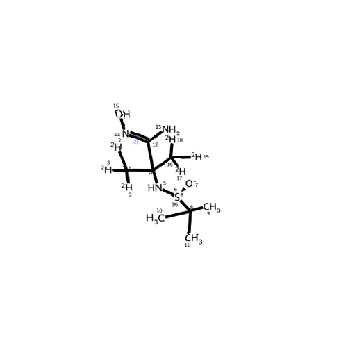 [2H]C([2H])([2H])C(N[S@@+]([O-])C(C)(C)C)(/C(N)=N/O)C([2H])([2H])[2H]